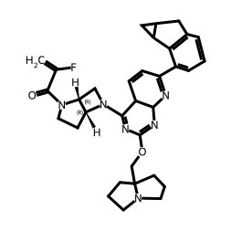 C=C(F)C(=O)N1CC[C@@H]2[C@H]1CN2C1=NC(OCC23CCCN2CCC3)=NC2N=C(c3cccc4c3C3CC3C4)C=CC12